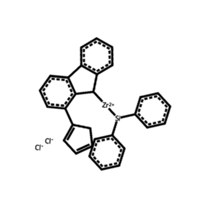 C1=CCC(c2cccc3c2[CH]([Zr+2][Si](c2ccccc2)c2ccccc2)c2ccccc2-3)=C1.[Cl-].[Cl-]